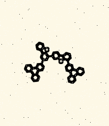 c1ccc2c(c1)oc1c(-c3ccc4c(c3)oc3c(-c5ccc6c7ccccc7c7ccccc7c6c5)cccc34)cc(-c3ccc4c5ccccc5c5ccccc5c4c3)cc12